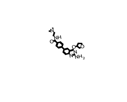 CN(C)CCNC(=O)c1ccc(-c2ccc3nc(N)nc(OC4CCOC4)c3c2)cc1